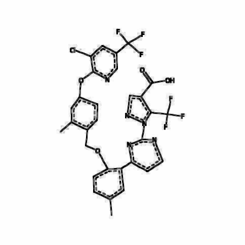 Cc1ccc(OCc2ccc(Oc3ncc(C(F)(F)F)cc3Cl)cc2C)c(-c2ccnc(-n3ncc(C(=O)O)c3C(F)(F)F)n2)c1